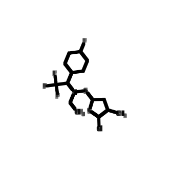 CCN(SC1CC(C)C(Cl)S1)C(C1CCC(F)CC1)C(F)(F)F